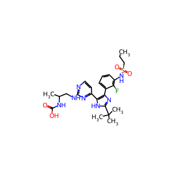 CCCS(=O)(=O)Nc1cccc(-c2nc(C(C)(C)C)[nH]c2-c2ccnc(NCC(C)NC(=O)O)n2)c1F